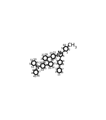 Cc1ccc(-c2cc(-c3ccc(-c4ccccc4)cc3)n(-c3ccc(-c4ccccc4-c4ccccc4-c4ccc(N(c5ccccc5)c5ccccc5)cc4)cc3)n2)cc1